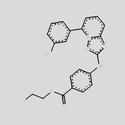 O=C(NCCO)c1ccc(Nc2nc3cccc(-c4cccc(O)c4)n3n2)cc1